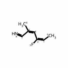 C/C=C(F)\C=C(\C)C=N